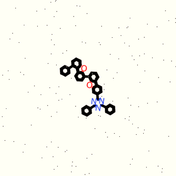 c1ccc(-c2nc(-c3ccccc3)nc(-c3ccc4c(c3)oc3c(-c5cccc6c5oc5cccc(-c7ccccc7)c56)cccc34)n2)cc1